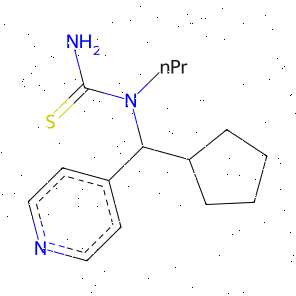 CCCN(C(N)=S)C(c1ccncc1)C1CCCC1